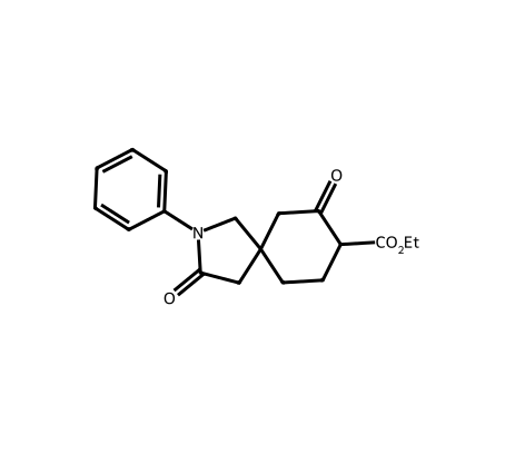 CCOC(=O)C1CCC2(CC1=O)CC(=O)N(c1ccccc1)C2